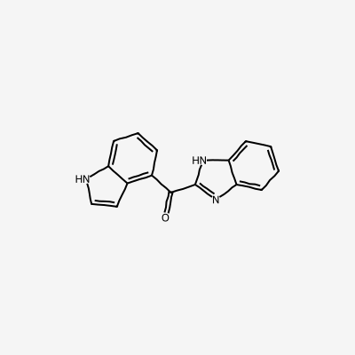 O=C(c1nc2ccccc2[nH]1)c1cccc2[nH]ccc12